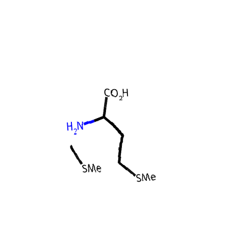 CSC.CSCCC(N)C(=O)O